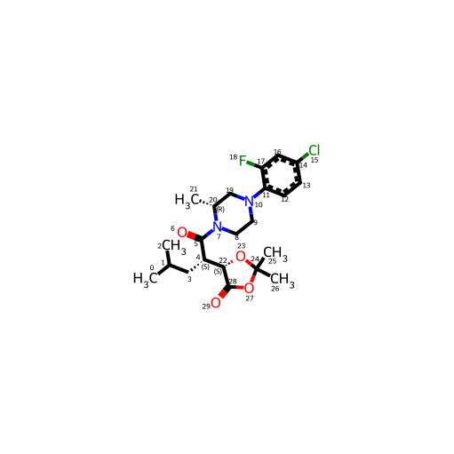 CC(C)C[C@H](C(=O)N1CCN(c2ccc(Cl)cc2F)C[C@H]1C)[C@@H]1OC(C)(C)OC1=O